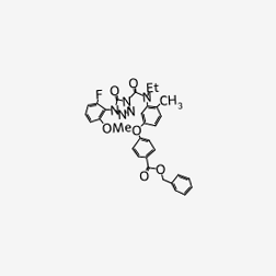 CCN(C(=O)n1nnn(-c2c(F)cccc2OC)c1=O)c1cc(Oc2ccc(C(=O)OCc3ccccc3)cc2)ccc1C